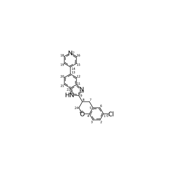 Clc1ccc2c(c1)CC(c1nc3cc(-c4ccncc4)ccc3[nH]1)CO2